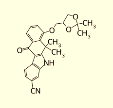 CC1(C)OCC(COc2cccc3c2C(C)(C)c2[nH]c4cc(C#N)ccc4c2C3=O)O1